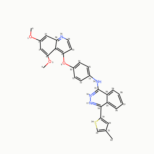 COc1cc(OC)c2c(Oc3ccc(Nc4nnc(-c5cc(C)cs5)c5ccccc45)cc3)ccnc2c1